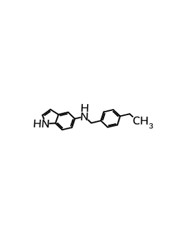 CCc1ccc(CNc2ccc3[nH]ccc3c2)cc1